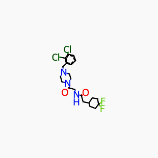 O=C(CC1CCC(F)(F)CC1)NCC(=O)N1CCN(Cc2cccc(Cl)c2Cl)CC1